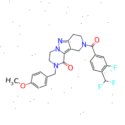 COc1ccc(CN2CCn3nc4c(c3C2=O)CN(C(=O)c2ccc(C(F)F)c(F)c2)CC4)cc1